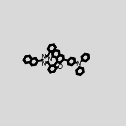 c1ccc(-c2nc(-c3ccc4ccccc4c3)nc(-c3cccc4oc5c(-c6ccc(N(c7ccccc7)c7ccccc7)cc6)cc6ccccc6c5c34)n2)cc1